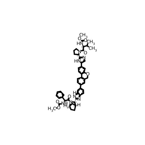 COC(=O)N[C@H](C(=O)N1CCC[C@H]1c1ncc(-c2ccc3c(c2)OCc2cc(-c4ccc5nc([C@@H]6[C@H]7CC[C@H](C7)N6C(=O)[C@H](NC(=O)OC)c6ccccc6)[nH]c5c4)ccc2-3)[nH]1)C(C)C